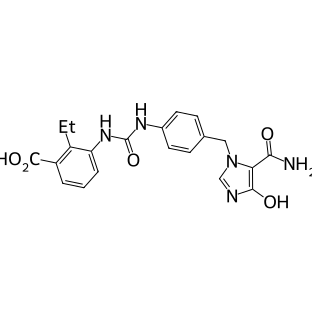 CCc1c(NC(=O)Nc2ccc(Cn3cnc(O)c3C(N)=O)cc2)cccc1C(=O)O